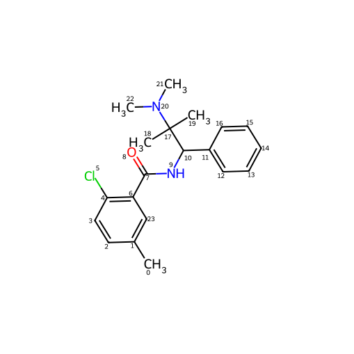 Cc1ccc(Cl)c(C(=O)NC(c2ccccc2)C(C)(C)N(C)C)c1